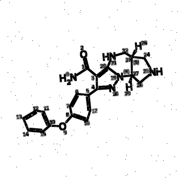 NC(=O)c1c(-c2ccc(Oc3ccccc3)cc2)nn2c1NC[C@@H]1CNC[C@@H]12